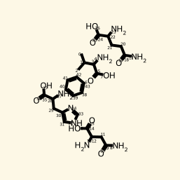 CC(C)C(N)C(=O)O.NC(=O)CC(N)C(=O)O.NC(=O)CCC(N)C(=O)O.NC(Cc1c[nH]cn1)C(=O)O.c1ccccc1